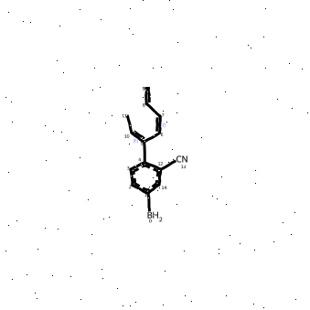 Bc1ccc(C(/C=C\C=C)=C/C)c(C#N)c1